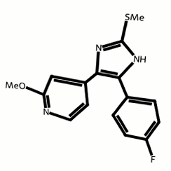 COc1cc(-c2nc(SC)[nH]c2-c2ccc(F)cc2)ccn1